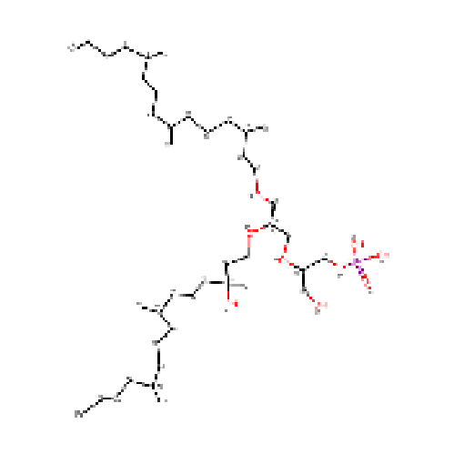 CC(C)CCCC(C)CCCC(C)CCCC(C)CCOC[C@@H](COC(CO)COP(=O)(O)O)OCCC(C)(O)CCCC(C)CCCC(C)CCCC(C)C